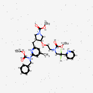 Cc1cc(C[C@H]2CN(C(=O)OC(C)(C)C)C[C@H]2OCCN(CC(F)(F)c2ccccn2)C(=O)OC(C)(C)C)nc(N(Cc2ccccc2)C(=O)OC(C)(C)C)c1